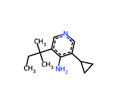 CCC(C)(C)c1cncc(C2CC2)c1N